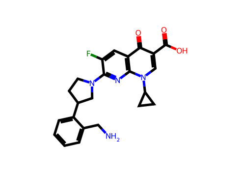 NCc1ccccc1C1CCN(c2nc3c(cc2F)c(=O)c(C(=O)O)cn3C2CC2)C1